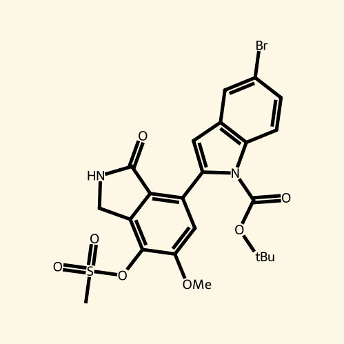 COc1cc(-c2cc3cc(Br)ccc3n2C(=O)OC(C)(C)C)c2c(c1OS(C)(=O)=O)CNC2=O